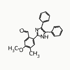 COc1cc(C=O)c(-c2nc(-c3ccccc3)c(-c3ccccc3)[nH]2)cc1C